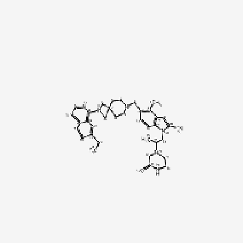 Cc1c(CN2CCC3(CC2)CN(c2ncnc4ccc(CC(F)(F)F)cc24)C3)ccc2c1cc(C#N)n2CC(C)N1CCNC(=O)C1